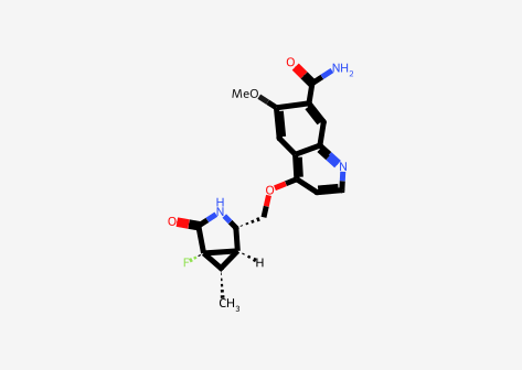 COc1cc2c(OC[C@H]3NC(=O)[C@@]4(F)[C@@H]3[C@@H]4C)ccnc2cc1C(N)=O